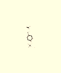 CCCCC(C)(C)Nc1ccc(COC(=O)CC)cc1